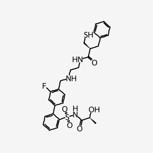 C[C@H](O)C(=O)NS(=O)(=O)c1ccccc1-c1ccc(CNCCNC(=O)[C@@H](CS)Cc2ccccc2)c(F)c1